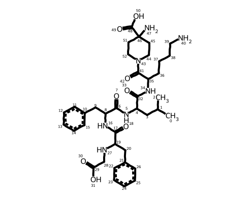 CC(C)CC(NC(=O)C(Cc1ccccc1)NC(=O)C(Cc1ccccc1)NCC(=O)O)C(=O)NC(CCCCN)C(=O)N1CCC(N)(C(=O)O)CC1